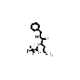 NCCC(NC(=O)C(F)(F)F)C(=O)NCc1ccccc1